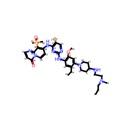 CCCN(C)CCNC1CCN(c2cc(OC)c(Nc3ncc(Br)c(Nc4ccn5c(=O)ccnc5c4P(C)(C)=O)n3)cc2CC)CC1